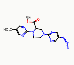 CC(C)(C)OC(=O)C1CN(c2ncc(N=[N+]=[N-])cn2)CCN1c1ncc(C(=O)O)cn1